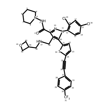 O=C(NN1CCCCC1)c1nn(-c2ccc(Cl)cc2Cl)c(-c2ccc(C#Cc3ccc(C(F)(F)F)cc3)s2)c1CNCC1COC1